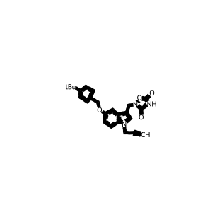 C#CCn1cc(Cn2oc(=O)[nH]c2=O)c2cc(OCc3ccc(C(C)(C)C)cc3)ccc21